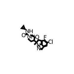 CC1(C2CCN(C(=O)NC3CC3)CC2)[C@H](O)c2c(F)c(Cl)cc3cnn1c23